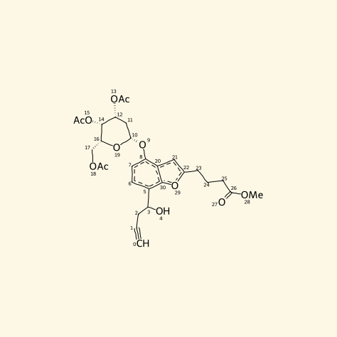 C#CCC(O)c1ccc(O[C@H]2C[C@@H](OC(C)=O)[C@@H](OC(C)=O)[C@@H](COC(C)=O)O2)c2cc(CCCC(=O)OC)oc12